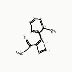 COC(=O)c1cnoc1-c1ccccc1C